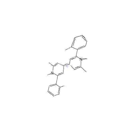 CC1=C/C(=C2/C=C(C)N(C)C(c3ccccc3C)=C2)C=C(c2ccccc2C)N1C